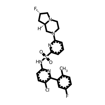 Cc1ccc(F)cc1-c1nc(NS(=O)(=O)c2cccc(N3CCN4C[C@@H](F)C[C@@H]4C3)n2)ccc1Cl